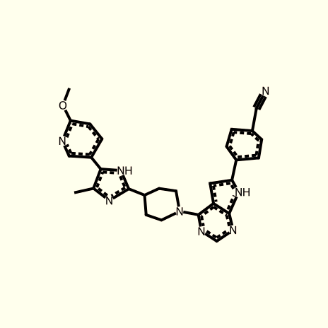 COc1ccc(-c2[nH]c(C3CCN(c4ncnc5[nH]c(-c6ccc(C#N)cc6)cc45)CC3)nc2C)cn1